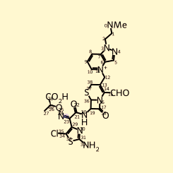 CNCCn1ncc2c1ccc[n+]2CC1=C(C=O)N2C(=O)C(NC(=O)/C(=N\O[C@@H](C)C(=O)O)c3nc(N)sc3Cl)C2SC1